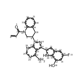 C=CC(=O)N1CC(n2nc(-c3cc4cc(F)cc(O)c4[nH]3)c3c(N)ncnc32)Cc2ccccc21